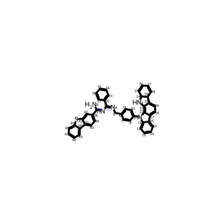 N/C(=N\C(=N/Cc1ccc(-n2c3ccccc3c3ccc4c(c32)NC2C=CC=CC42)cc1)c1ccccc1)c1ccc2c(c1)sc1ccccc12